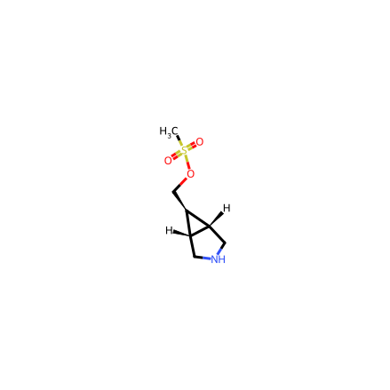 CS(=O)(=O)OC[C@H]1[C@@H]2CNC[C@@H]21